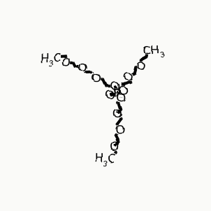 CCCOCCOCCOP(=O)(OCCOCCOCCOCC)OCCOCCOCCOCC